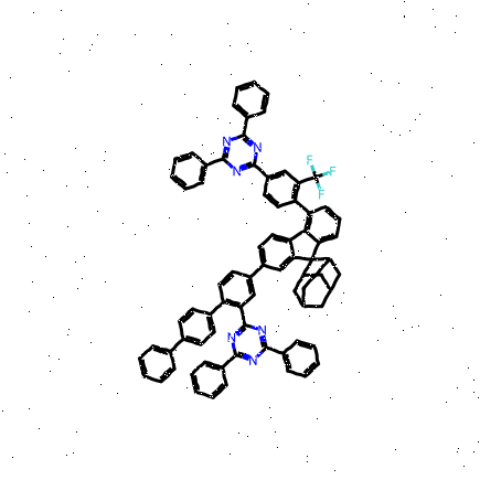 FC(F)(F)c1cc(-c2nc(-c3ccccc3)nc(-c3ccccc3)n2)ccc1-c1cccc2c1-c1ccc(-c3ccc(-c4ccc(-c5ccccc5)cc4)c(-c4nc(-c5ccccc5)nc(-c5ccccc5)n4)c3)cc1C21C2CC3CC(C2)CC1C3